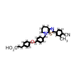 Cc1cc(-c2nc3c(s2)N(Cc2ccc(COc4ccc(CCC(=O)O)cc4)cc2)CCCC3)ccc1C#N